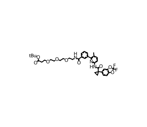 Cc1ccc(NC(=O)C2(c3ccc4c(c3)OC(F)(F)O4)CC2)nc1-c1cccc(C(=O)NCCOCCOCCOCCC(=O)OC(C)(C)C)c1